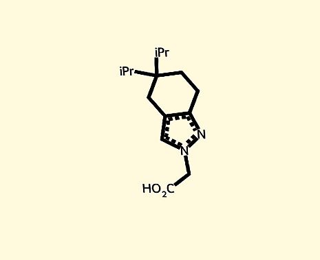 CC(C)C1(C(C)C)CCc2nn(CC(=O)O)cc2C1